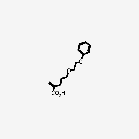 C=C(CCCOCCOc1ccccc1)C(=O)O